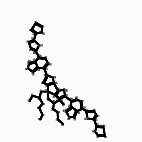 CCCCC(CC)CS1(CC(CC)CCCC)c2cc(-c3ncc(-c4ccc(-c5cccs5)s4)c4nsnc34)sc2-c2sc(-c3ncc(-c4ccc(-c5cccs5)s4)c4nsnc34)cc21